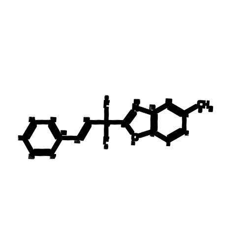 Cc1ccc2oc(C(F)(F)/C=C/c3ccccc3)nc2c1